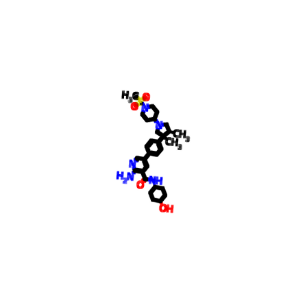 C[C@@H]1CN(C2CCN(S(C)(=O)=O)CC2)C[C@@]1(C)c1ccc(-c2cnc(N)c(C(=O)N[C@H]3CC[C@H](O)CC3)c2)cc1